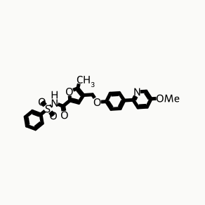 COc1ccc(-c2ccc(OCc3cc(C(=O)NS(=O)(=O)c4ccccc4)oc3C)cc2)nc1